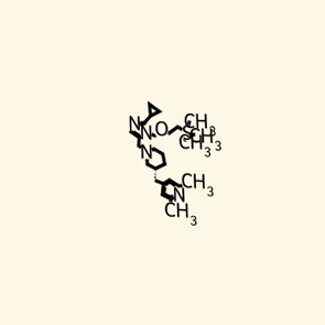 Cc1cc(C[C@H]2CCCN(Cc3cnc(C4CC4)n3COCCS(C)(C)C)C2)cc(C)n1